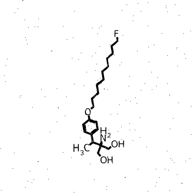 CC(c1ccc(OCCCCCCCCCCCF)cc1)C(N)(CO)CO